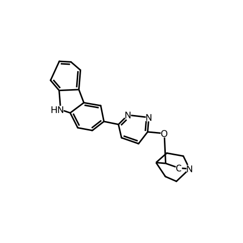 c1ccc2c(c1)[nH]c1ccc(-c3ccc(OC4CN5CCC4CC5)nn3)cc12